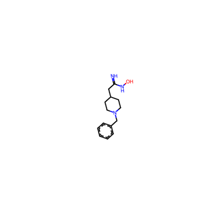 N=C(CC1CCN(Cc2ccccc2)CC1)NO